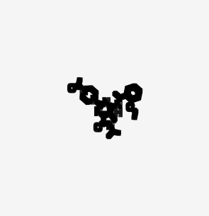 CCOc1ccccc1C(C)Nc1nc(N2CCN(C(C)=O)CC2)nc2c1CN(C(C)C)C2=O